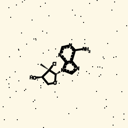 C[C@@]1(Cl)[C@H](O)CO[C@H]1n1cnc2c(N)ncnc21